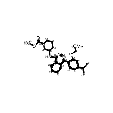 COCOc1cc(C(F)F)ccc1-c1nnc(NC2CCCN(C(=O)OC(C)(C)C)C2)c2ccccc12